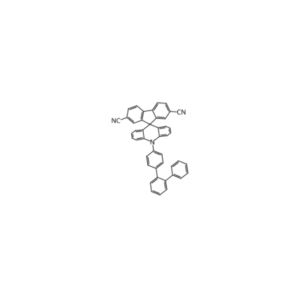 N#Cc1ccc2c(c1)C1(c3cc(C#N)ccc3-2)c2ccccc2N(c2ccc(-c3ccccc3-c3ccccc3)cc2)c2ccccc21